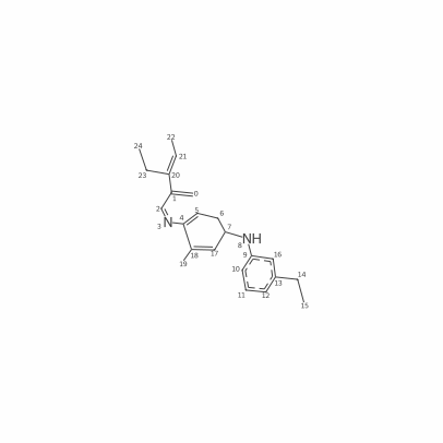 C=C(/C=N\C1=CCC(Nc2cccc(CC)c2)C=C1C)/C(=C/C)CC